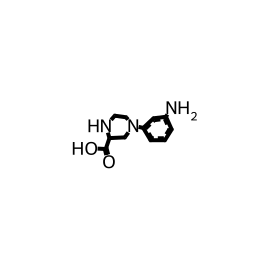 Nc1cccc(N2CCNC(C(=O)O)C2)c1